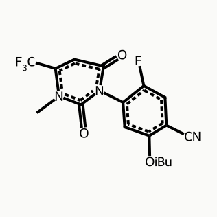 CC(C)COc1cc(-n2c(=O)cc(C(F)(F)F)n(C)c2=O)c(F)cc1C#N